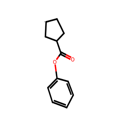 O=C(Oc1ccccc1)C1C[CH]CC1